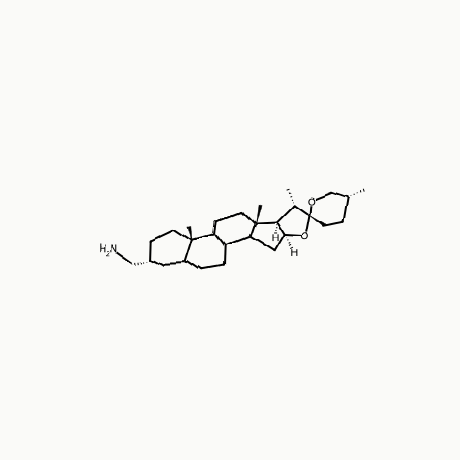 C[C@@H]1CC[C@@]2(OC1)O[C@H]1CC3C4CCC5C[C@H](CN)CC[C@]5(C)C4CC[C@]3(C)[C@H]1[C@@H]2C